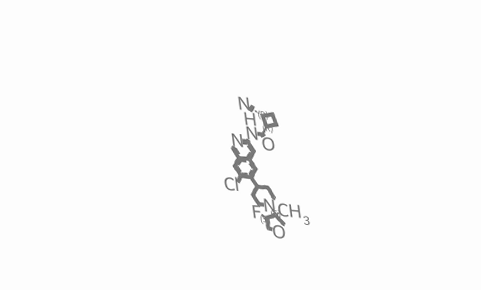 C[C@]1(N2CCC(c3cc4cc(NC(=O)[C@@H]5CC[C@H]5C#N)ncc4cc3Cl)CC2)COC[C@H]1F